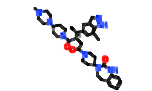 Cc1cc([C@H](C)C(CC(=O)N2CCC(N3CCc4ccccc4NC3=O)CC2)C(=O)N2CCC(N3CCN(C)CC3)CC2)cc2cn[nH]c12